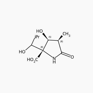 CC(C)C(O)[C@@]1(C(=O)O)NC(=O)[C@H](C)[C@@H]1O